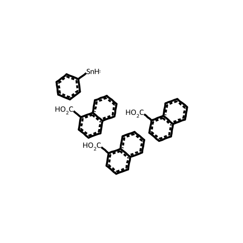 O=C(O)c1cccc2ccccc12.O=C(O)c1cccc2ccccc12.O=C(O)c1cccc2ccccc12.[SnH][c]1ccccc1